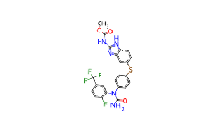 COC(=O)Nc1nc2cc(Sc3ccc(N(C(N)=O)c4cc(C(F)(F)F)ccc4F)cc3)ccc2[nH]1